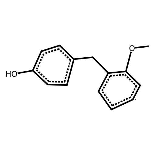 COc1c[c]ccc1Cc1ccc(O)cc1